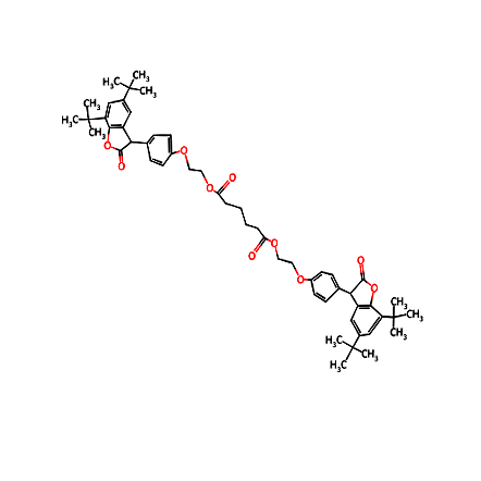 CC(C)(C)c1cc2c(c(C(C)(C)C)c1)OC(=O)C2c1ccc(OCCOC(=O)CCCCC(=O)OCCOc2ccc(C3C(=O)Oc4c3cc(C(C)(C)C)cc4C(C)(C)C)cc2)cc1